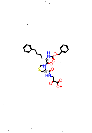 O=C(N[C@@H](CCCCc1ccccc1)C(=O)N1CSC[C@H]1C(=O)NCC(=O)C(=O)O)OCc1ccccc1